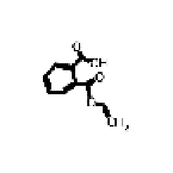 C=COC(=O)c1ccccc1C(=O)O